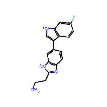 NCCc1nc2ccc(-c3c[nH]c4cc(F)ccc34)cc2[nH]1